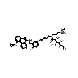 CS(=O)(=O)NCCCN(CCCCSc1ccc(Cl)c(CNC2(c3cnccc3-c3ccccc3OC3CC3)CC2)c1)C(=O)[C@@H](O)[C@@H](O)[C@H](O)[C@@H](O)CO